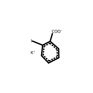 O=C([O-])c1ccccc1I.[K+]